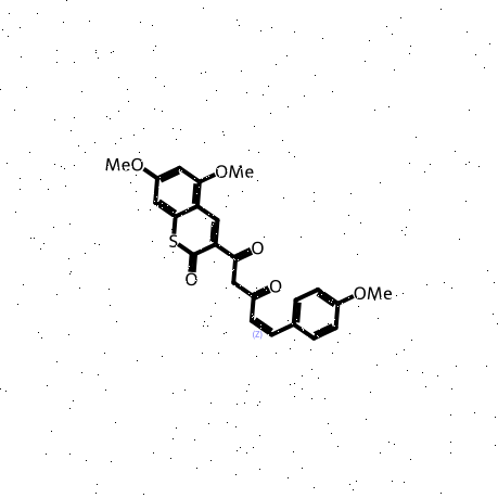 COc1ccc(/C=C\C(=O)CC(=O)c2cc3c(OC)cc(OC)cc3sc2=O)cc1